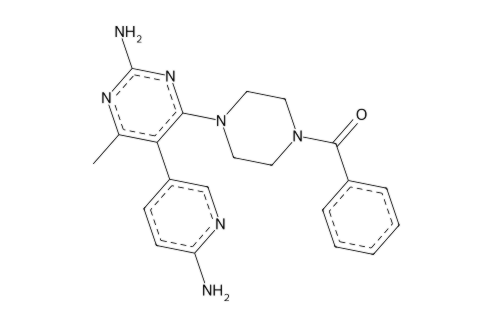 Cc1nc(N)nc(N2CCN(C(=O)c3ccccc3)CC2)c1-c1ccc(N)nc1